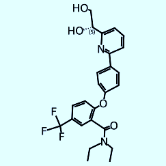 CCN(CC)C(=O)c1cc(C(F)(F)F)ccc1Oc1ccc(-c2cccc([C@H](O)CO)n2)cc1